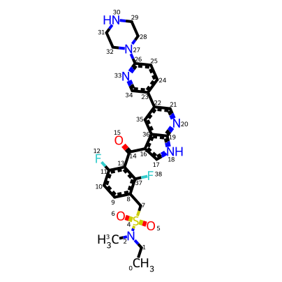 CCN(C)S(=O)(=O)Cc1ccc(F)c(C(=O)c2c[nH]c3ncc(-c4ccc(N5CCNCC5)nc4)cc23)c1F